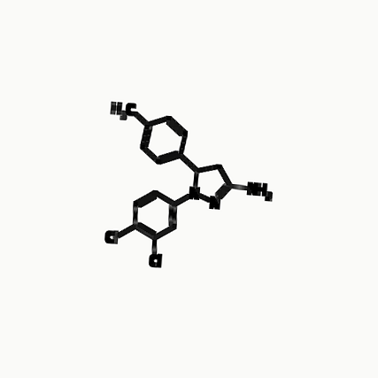 Cc1ccc(C2CC(N)=NN2c2ccc(Cl)c(Cl)c2)cc1